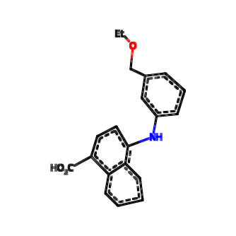 CCOCc1cccc(Nc2ccc(C(=O)O)c3ccccc23)c1